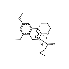 CCc1cc(OC)cc2c1C[C@@H]1[C@@H]3OCCC[C@]23CCN1C(=O)C1CC1